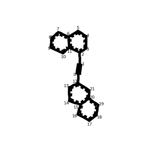 C(#Cc1cccc2c[c]ccc12)c1ccc2ccccc2c1